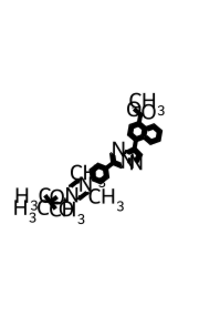 COC(=O)c1ccc(-c2cnn3cc(-c4ccc(N5[C@H](C)CN(C(=O)OC(C)(C)C)C[C@@H]5C)cc4)cnc23)c2ccccc12